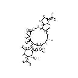 CO[C@]1(C)C[C@@H](C)CN(C)[C@H](C2CCN(C(C)C)C2)COC(=O)C(C)(C)C(=O)[C@H](C)[C@H]1O[C@@H]1O[C@H](C)C[C@H](N(C)C)[C@H]1O